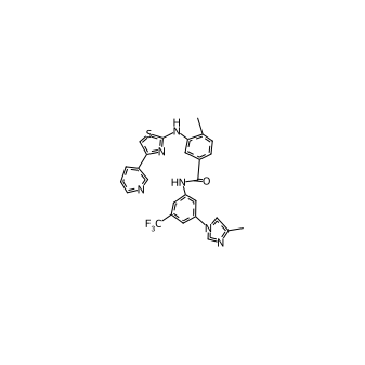 Cc1cn(-c2cc(NC(=O)c3ccc(C)c(Nc4nc(-c5cccnc5)cs4)c3)cc(C(F)(F)F)c2)cn1